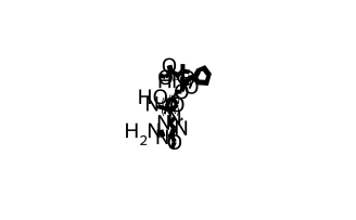 COC(=O)[C@@H](N[P@](=O)(OC[C@H]1O[C@@H](n2cnc3c(OC)nc(N)nc32)[C@](C)(C#N)[C@@H]1O)Oc1ccccc1)C(C)C